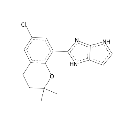 CC1(C)CCc2cc(Cl)cc(-c3nc4[nH]ccc4[nH]3)c2O1